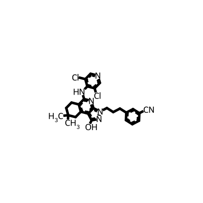 CC1(C)CCc2c(Nc3c(Cl)cncc3Cl)nc3c(c(O)nn3CCCc3cccc(C#N)c3)c2C1